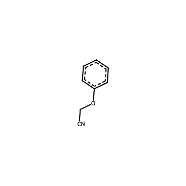 N#CCOc1ccccc1